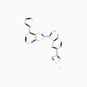 Cn1cc(-c2ccc3[nH]nc(-c4nc5c(-c6cccs6)ccnc5[nH]4)c3c2)cn1